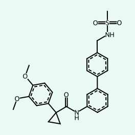 COc1ccc(C2(C(=O)Nc3cccc(-c4ccc(CNS(C)(=O)=O)cc4)c3)CC2)cc1OC